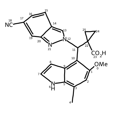 COc1cc(C)c2[nH]ccc2c1C(n1cc2ccc(C#N)cc2n1)C1(C(=O)O)CC1